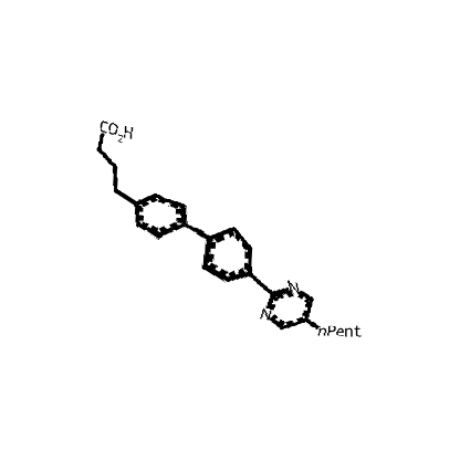 CCCCCc1cnc(-c2ccc(-c3ccc(CCCC(=O)O)cc3)cc2)nc1